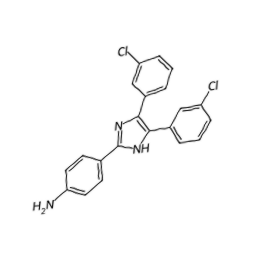 Nc1ccc(-c2nc(-c3cccc(Cl)c3)c(-c3cccc(Cl)c3)[nH]2)cc1